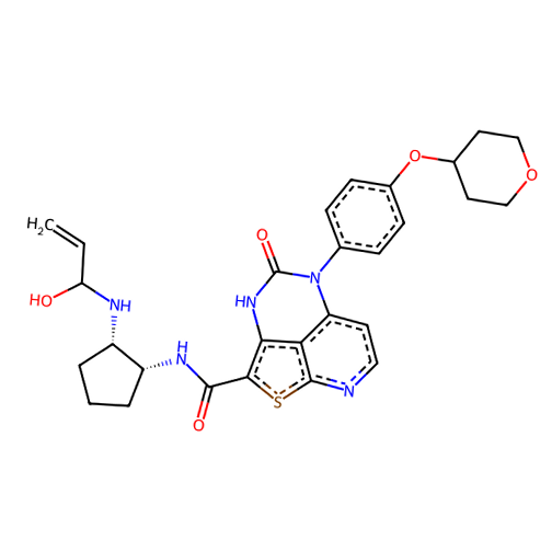 C=CC(O)N[C@H]1CCC[C@H]1NC(=O)c1sc2nccc3c2c1NC(=O)N3c1ccc(OC2CCOCC2)cc1